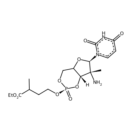 CCOC(=O)C(C)CCO[P@@]1(=O)OCC2O[C@@H](n3ccc(=O)[nH]c3=O)[C@](C)(N)[C@@H]2O1